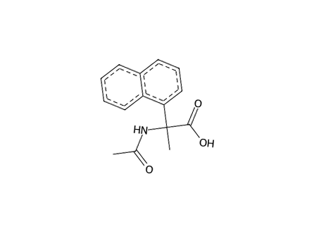 CC(=O)NC(C)(C(=O)O)c1cccc2ccccc12